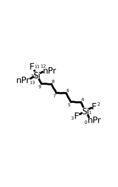 CCC[Si](F)(F)CCCCCC[Si](F)(CCC)CCC